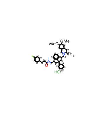 COc1cc2c(cc1OC)CN(CCCC(CCCNC(=O)CCc1ccc(F)cc1)(c1ccccc1)c1ccccc1)C(C)C2.Cl